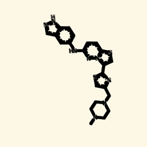 CN1CCN(Cc2csc(-c3cnc4ccc(Nc5ccc6[nH]ncc6c5)nn34)n2)CC1